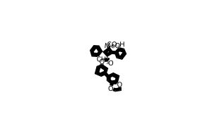 COc1ccccc1C1[C@@H](C(=O)O)[C@@H](c2ccccc2C)[C@H]1C(=O)Oc1cccc(-c2ccc3c(c2)OCCO3)c1